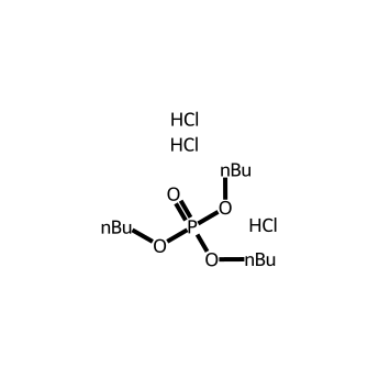 CCCCOP(=O)(OCCCC)OCCCC.Cl.Cl.Cl